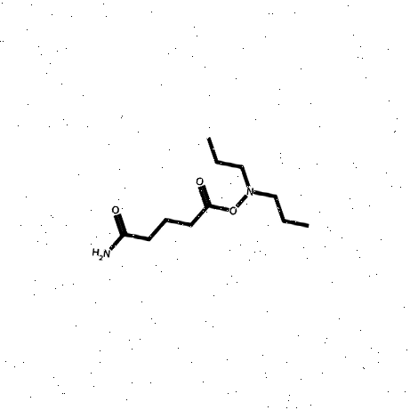 CCCN(CCC)OC(=O)CCCC(N)=O